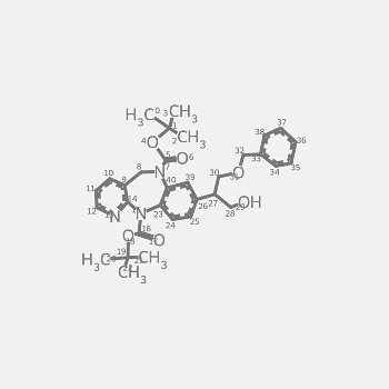 CC(C)(C)OC(=O)N1Cc2cccnc2N(C(=O)OC(C)(C)C)c2ccc(C(CO)COCc3ccccc3)cc21